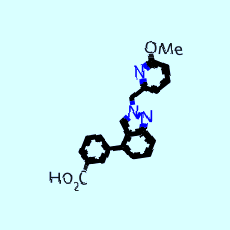 COc1cccc(Cn2cc3c(-c4cccc(C(=O)O)c4)cccc3n2)n1